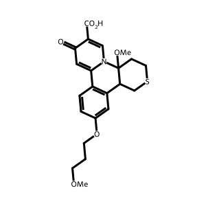 COCCCOc1ccc2c(c1)C1CSCCC1(OC)n1cc(C(=O)O)c(=O)cc1-2